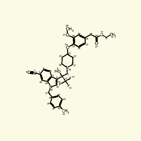 [C-]#[N+]c1ccc2c(C(O)(CN3CCC(Oc4ccc(CC(=O)OCC)cc4OC)CC3)C(F)(F)F)cn(Cc3ccc(C)cc3)c2c1